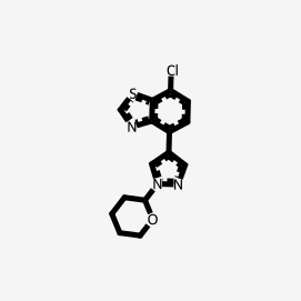 Clc1ccc(-c2cnn(C3CCCCO3)c2)c2ncsc12